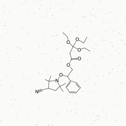 CCOC(CC(=O)OCC(ON1C(C)(C)CC(C#N)C1(C)C)c1ccccc1)(OCC)OCC